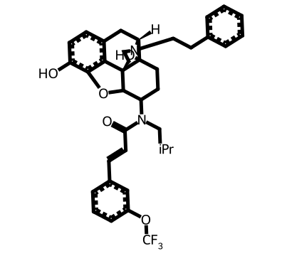 CC(C)CN(C(=O)/C=C/c1cccc(OC(F)(F)F)c1)C1CC[C@@]2(O)[C@H]3Cc4ccc(O)c5c4[C@@]2(CCN3CCc2ccccc2)C1O5